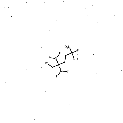 O=[N+]([O-])C(F)(CCC(CO)(N(F)F)N(F)F)[N+](=O)[O-]